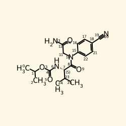 CC(C)OC(=O)N[C@H](C(=O)N(CC(N)=O)c1ccc(C#N)cc1)C(C)C